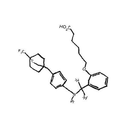 [2H]C([2H])(c1ccccc1OCCCCCC(=O)O)N(c1ccc(C23CCC(C(F)(F)F)(CC2)CC3)cc1)C(C)C